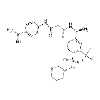 C[C@H](NC(=O)CC(=O)Nc1ccc(C(=N)N)cc1)c1ccc(S(=O)(=O)NC2CCCOC2)c(C(F)(F)F)c1